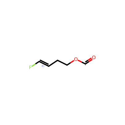 O=[C]OCC/C=C/F